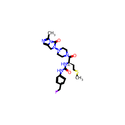 CSCC[C@@H](NC(=O)Nc1ccc(CI)cc1)C(=O)N1CCN(N2Cc3cnc(C)n3C2=O)CC1